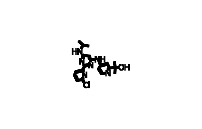 CC(C)Nc1cc(Nc2ccnc(C(C)(C)O)c2)nc(-c2cccc(Cl)n2)n1